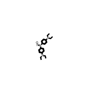 CCN(CC)c1ccc(N(N=O)c2ccc(N(CC)CC)cc2)cc1